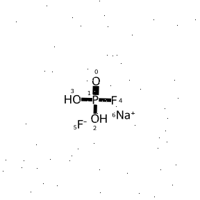 O=P(O)(O)F.[F-].[Na+]